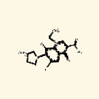 CCn1cc(C(=O)O)c(=O)c2cc(F)c(N3CC[C@H](O)C3)c(Cl)c21